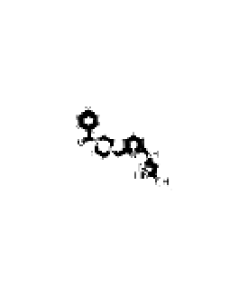 Cc1cc(Nc2cccc(CN3CCN(C(=O)c4ccccc4)CC3)n2)n[nH]1